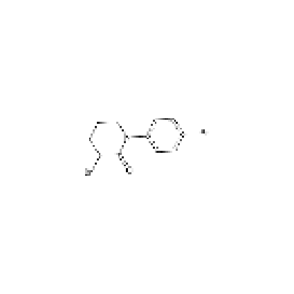 O=C1C(Br)CCCN1c1ccc(Br)cc1